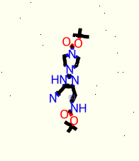 CC(C)(C)OC(=O)N/C=C/c1nc(N2CCN(C(=O)OC(C)(C)C)CC2)[nH]c1C#N